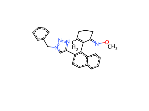 CO/N=C1\CCCC(C)=C1c1c(-c2cn(Cc3ccccc3)nn2)ccc2ccccc12